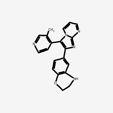 Cc1cnccc1-c1c(-c2ccc3c(c2)NCCO3)nc2ncccn12